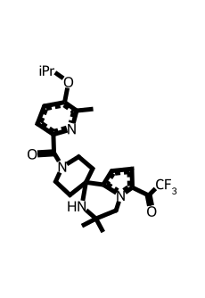 Cc1nc(C(=O)N2CCC3(CC2)NC(C)(C)Cn2c(C(=O)C(F)(F)F)ccc23)ccc1OC(C)C